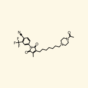 CC(=O)N1CCN(CCCCCCCC2=C(C)C(=O)N(c3ccc(C#N)c(C(F)(F)F)c3)C2=O)CC1